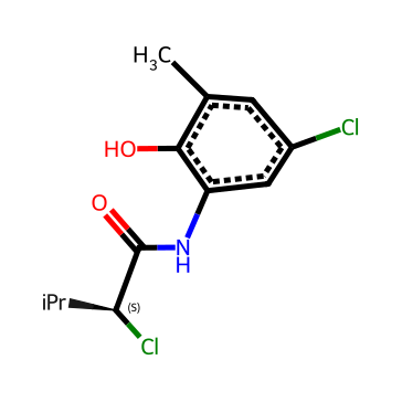 Cc1cc(Cl)cc(NC(=O)[C@@H](Cl)C(C)C)c1O